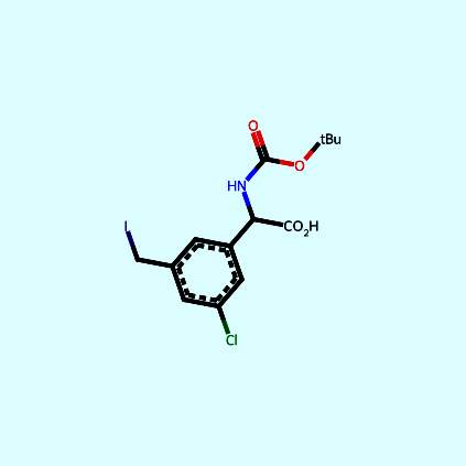 CC(C)(C)OC(=O)NC(C(=O)O)c1cc(Cl)cc(CI)c1